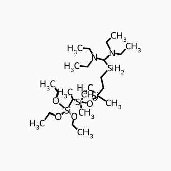 CCO[Si](OCC)(OCC)C(C)[Si](C)(C)O[Si](C)(C)CC[SiH2]C(N(CC)CC)N(CC)CC